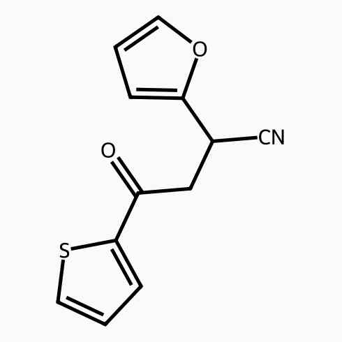 N#CC(CC(=O)c1cccs1)c1ccco1